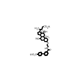 CCOC(=O)c1ccc(-c2cccc(C(=O)NCCOC3CCC4(C)C(C3)CC(O)C3C4CC(O)C4(C)C(C(C)CCC(=O)O)CCC34)c2)cc1